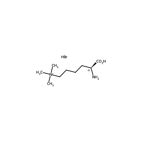 Br.C[N+](C)(C)CCCC[C@H](N)C(=O)O